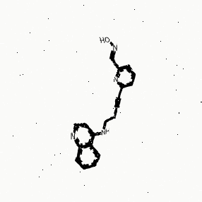 ON=Cc1cccc(C#CCCNc2ccnc3ccccc23)n1